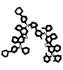 Cc1ccccc1N(c1ccccc1C)c1cc2sc3cc(N(c4ccccc4C)c4cc(-c5cccc(N(c6ccc(C7CCCCC7)cc6)c6cc7sc8cc(N(c9ccccc9)c9ccc(C%10CCCCC%10)cc9)c9ccccc9c8c7c7ccccc67)c5)ccc4C)c4ccccc4c3c2c2ccccc12